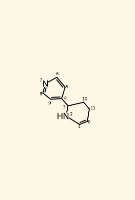 C1=CNC(c2ccncc2)CC1